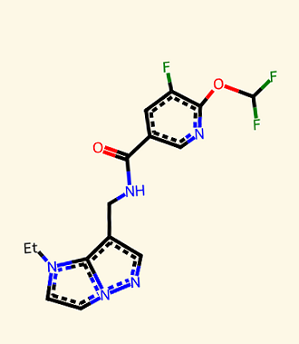 CCn1ccn2ncc(CNC(=O)c3cnc(OC(F)F)c(F)c3)c12